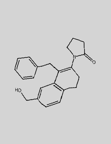 O=C1CCCN1C1=C(Cc2ccccc2)c2cc(CO)ccc2CC1